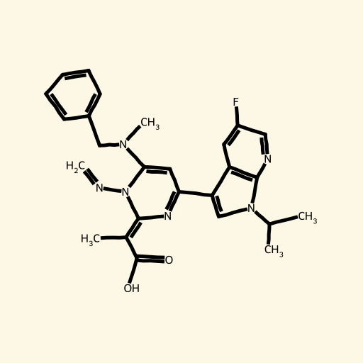 C=NN1C(N(C)Cc2ccccc2)=CC(c2cn(C(C)C)c3ncc(F)cc23)=N/C1=C(/C)C(=O)O